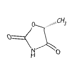 C[C@H]1OC(=O)NC1=O